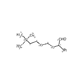 CC(C)C(C=O)OCOCC[Si](C)(C)C